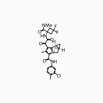 CNC(=O)C1(NC(=O)C(=O)c2c(C)c(C(=O)Nc3ccc(C)c(Cl)c3)n3c2[C@H]2C[C@H]2C3)CC(F)(F)C1